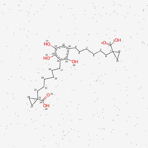 O=C(O)C1(CCCCCCc2cc(O)c(O)c(CCCCCCC3(C(=O)O)CC3)c2O)CC1